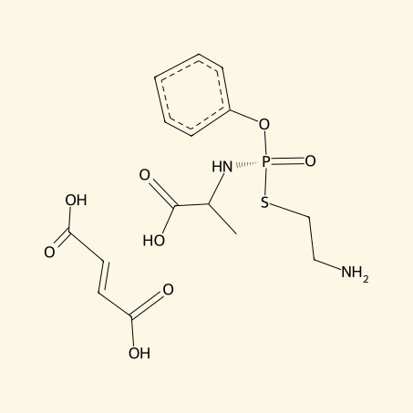 CC(N[P@@](=O)(Oc1ccccc1)SCCN)C(=O)O.O=C(O)/C=C/C(=O)O